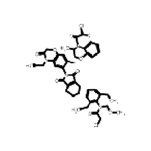 C#CCN1C(=O)COc2cc(F)c(N3C(=O)C4=C(CCCC4)C3=O)cc21.CC1COc2ccccc2N1C(=O)C(Cl)Cl.CCc1cccc(CC)c1N(COC)C(=O)CCl